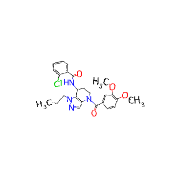 CCCn1ncc2c1C(NC(=O)c1ccccc1Cl)CCN2C(=O)c1ccc(OC)c(OC)c1